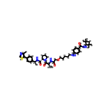 Cc1ncsc1-c1ccc([C@H](C)NC(=O)[C@@H]2CCCN2C(=O)[C@@H](NC(=O)COCCCCCNc2ccc(C(=O)NC3C(C)(C)CC3(C)C)cc2)C(C)(C)C)cc1